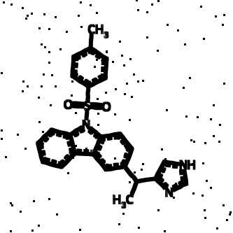 Cc1ccc(S(=O)(=O)n2c3ccccc3c3cc(C(C)c4c[nH]cn4)ccc32)cc1